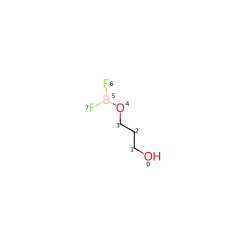 OCCCOB(F)F